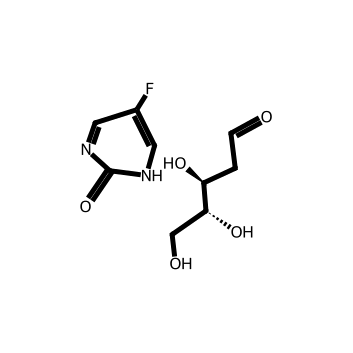 O=CC[C@H](O)[C@H](O)CO.O=c1ncc(F)c[nH]1